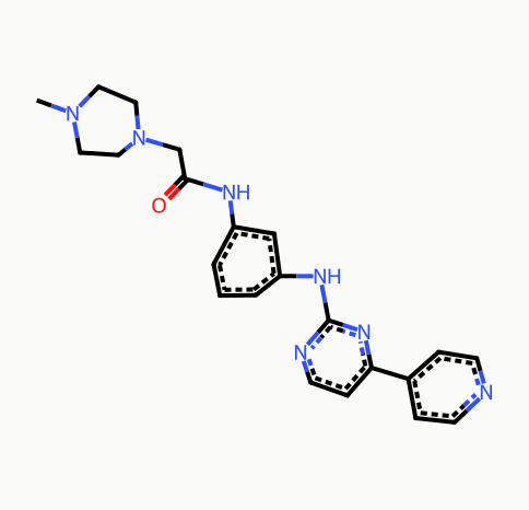 CN1CCN(CC(=O)Nc2cccc(Nc3nccc(-c4ccncc4)n3)c2)CC1